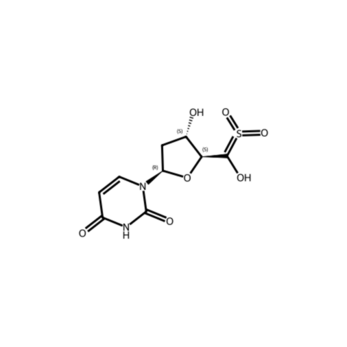 O=c1ccn([C@H]2C[C@H](O)[C@@H](C(O)=S(=O)=O)O2)c(=O)[nH]1